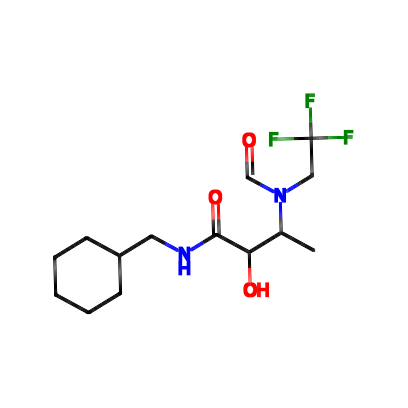 CC(C(O)C(=O)NCC1CCCCC1)N(C=O)CC(F)(F)F